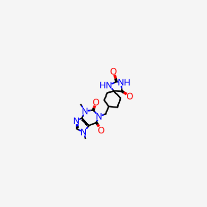 Cn1cnc2c1c(=O)n(CC1CCC3(CC1)NC(=O)NC3=O)c(=O)n2C